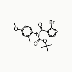 COc1ccc(N(C(=O)OC(C)(C)C)C(=O)c2ccsc2Br)c(C)c1